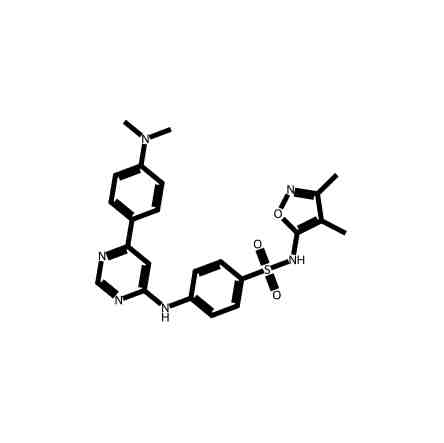 Cc1noc(NS(=O)(=O)c2ccc(Nc3cc(-c4ccc(N(C)C)cc4)ncn3)cc2)c1C